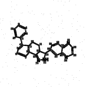 c1ccc(-c2cccc3c2CCC2C3=NNC2c2ccc3nccnc3c2)cc1